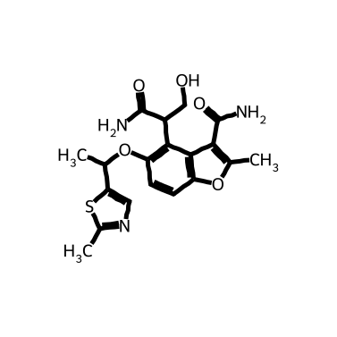 Cc1ncc(C(C)Oc2ccc3oc(C)c(C(N)=O)c3c2C(CO)C(N)=O)s1